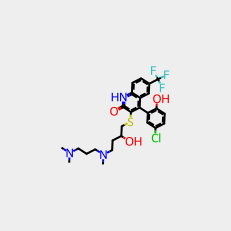 CN(C)CCCN(C)CCC(O)CSc1c(-c2cc(Cl)ccc2O)c2cc(C(F)(F)F)ccc2[nH]c1=O